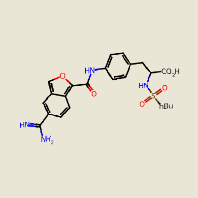 CCCCS(=O)(=O)NC(Cc1ccc(NC(=O)c2occ3cc(C(=N)N)ccc23)cc1)C(=O)O